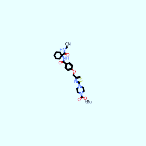 CC(C)(C)OC(=O)N1CCN(c2nc(COc3ccc(C(=O)NC4(C(=O)NCC#N)CCCCC4)cc3)cs2)CC1